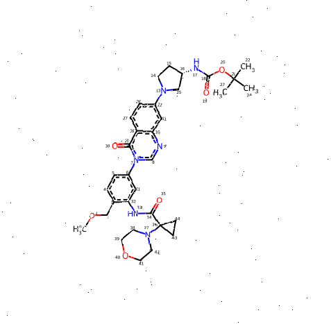 COCc1ccc(-n2cnc3cc(N4CC[C@H](NC(=O)OC(C)(C)C)C4)ccc3c2=O)cc1NC(=O)C1(N2CCOCC2)CC1